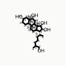 CC(CO)CCCC(C)[C@H]1[C@@H](O)[C@H](O)[C@H]2[C@@H]3C[C@@H](O)[C@H]4C[C@@H](O)CC[C@]4(C)[C@H]3CC[C@@]21C